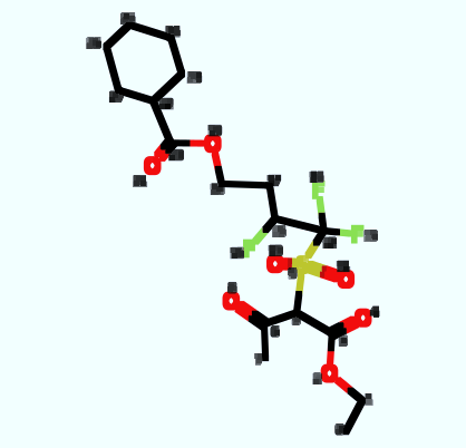 CCOC(=O)C(C(C)=O)S(=O)(=O)C(F)(F)C(F)CCOC(=O)C1CCCCC1